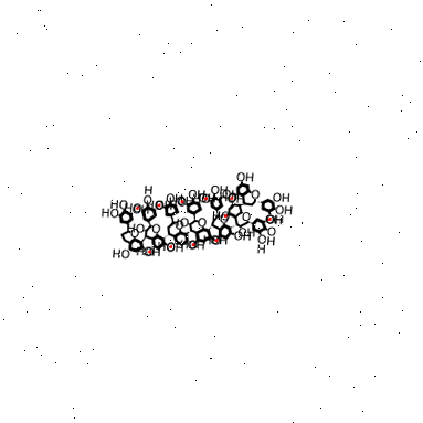 OC1=CC(O)=C2C(O[C@H](c3cc(O)c(O)c(O)c3)[C@H](O)[C@@H]2c2c(O)cc(O)c3c2O[C@H](c2cc(O)c(O)c(O)c2)C[C@H]3c2c(O)cc(O)c3c2O[C@H](c2cc(O)c(O)c(O)c2)[C@H](O)[C@@H]3c2c(O)cc(O)c3c2O[C@H](c2cc(O)c(O)c(O)c2)C[C@H]3c2c(O)cc(O)c3c2O[C@H](c2cc(O)c(O)c(O)c2)[C@H](O)[C@@H]3c2c(O)cc(O)c3c2O[C@H](c2cc(O)c(O)c(O)c2)CC3)C1[C@@H]1C[C@@H](c2cc(O)c(O)c(O)c2)Oc2cc(O)cc(O)c21